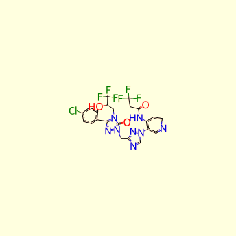 O=C(CC(F)(F)F)Nc1ccncc1-n1cnc(Cn2nc(-c3ccc(Cl)cc3)n(CC(O)C(F)(F)F)c2=O)n1